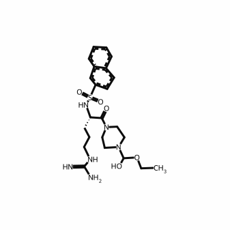 CCOC(O)N1CCN(C(=O)[C@H](CCCNC(=N)N)NS(=O)(=O)c2ccc3ccccc3c2)CC1